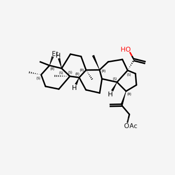 C=C(COC(C)=O)[C@@H]1CC[C@]2(C(=C)O)CC[C@]3(C)C(CC[C@@H]4[C@@]5(C)CC[C@H](C)[C@@](C)(CC)[C@@H]5CC[C@]43C)[C@@H]12